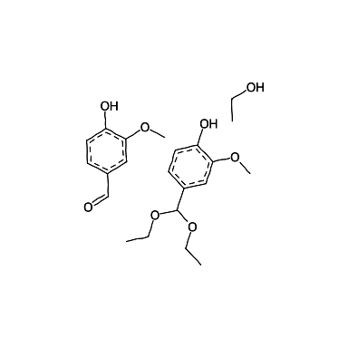 CCO.CCOC(OCC)c1ccc(O)c(OC)c1.COc1cc(C=O)ccc1O